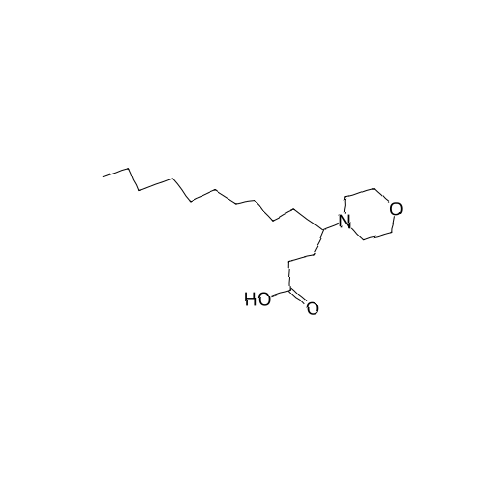 CCCCCCCCCCC(CCC(=O)O)N1CCOCC1